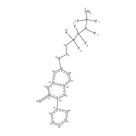 CC(F)(F)C(F)C(F)(F)C(F)(F)CCOc1ccc2cc(-c3ccccc3)c(=O)oc2c1